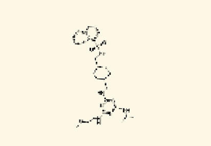 COCCNc1nc(NCC2CCC(CNS(=O)(=O)c3cccc4ccccc34)CC2)nc(NC(C)C)n1